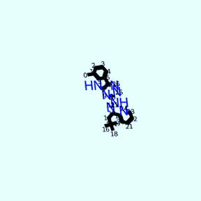 Cc1cccc2c1[nH]c1nc(NN=C(CC(C)(C)C)c3ccccn3)nnc12